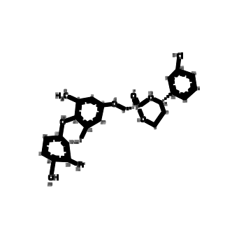 Cc1cc(OC[P@@]2(=O)OCC[C@@H](c3cccc(Cl)c3)O2)cc(I)c1Oc1ccc(O)c(C(C)C)c1